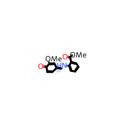 COC(=O)c1ccccc1N/C=C1/C=CC(=O)C(OC)=C1